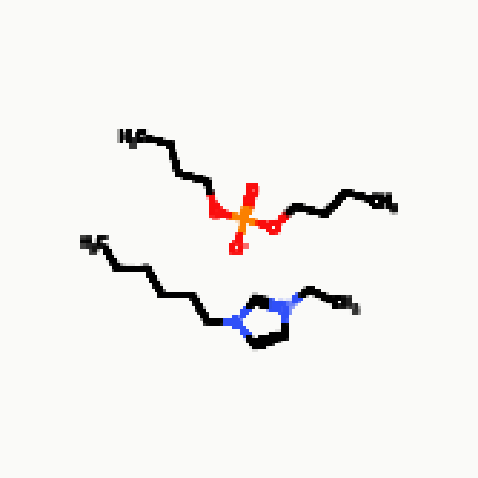 CCCCCCn1cc[n+](CC)c1.CCCCOP(=O)([O-])OCCCC